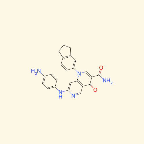 NC(=O)c1cn(-c2ccc3c(c2)CCC3)c2cc(Nc3ccc(N)cc3)ncc2c1=O